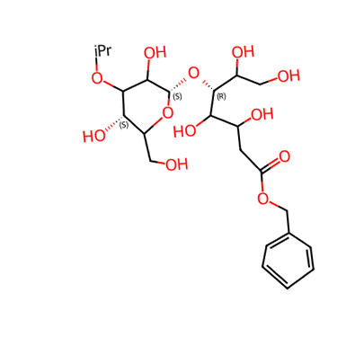 CC(C)OC1C(O)[C@H](O[C@H](C(O)CO)C(O)C(O)CC(=O)OCc2ccccc2)OC(CO)[C@@H]1O